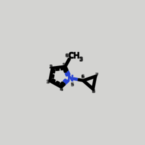 Cc1cccn1C1CC1